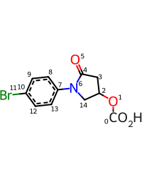 O=C(O)OC1CC(=O)N(c2ccc(Br)cc2)C1